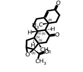 CC(=O)[C@@]12OC1C[C@H]1[C@@H]3CCC4=CC(=O)CC[C@]4(C)[C@H]3C(=O)C[C@@]12C